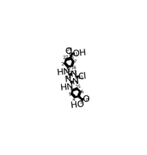 O=C(O)c1ccc(Nc2nc(Cl)nc(Nc3ccc(C(=O)O)cc3)n2)cc1